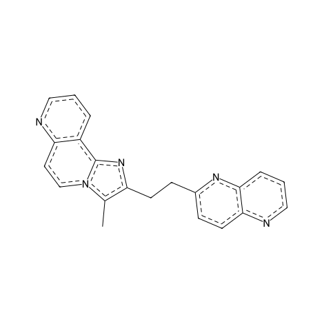 Cc1c(CCc2ccc3ncccc3n2)nc2c3cccnc3ccn12